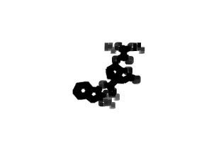 C=C(C)C(=O)OC1C2CC3C1OC(=O)C3C2C(=O)OC1c2ccccc2CC1(C)C